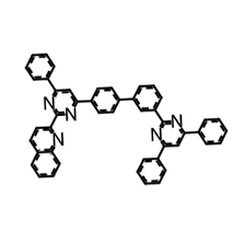 c1ccc(-c2cc(-c3ccccc3)nc(-c3cccc(-c4ccc(-c5cc(-c6ccccc6)nc(-c6ccc7ccccc7n6)n5)cc4)c3)n2)cc1